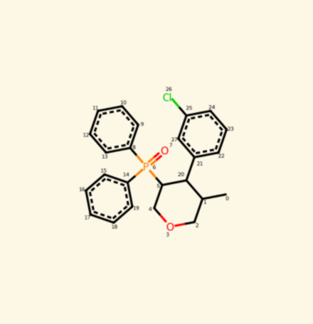 CC1COCC(P(=O)(c2ccccc2)c2ccccc2)C1c1cccc(Cl)c1